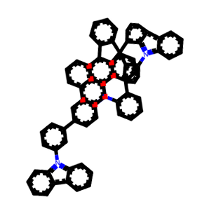 c1cc(-c2ccc(N(c3ccc4c(c3)C3(c5ccccc5-4)c4ccccc4-n4c5ccccc5c5cccc3c54)c3ccccc3-c3ccccc3-c3cccc4ccccc34)cc2)cc(-n2c3ccccc3c3ccccc32)c1